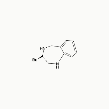 CC[C@H](C)[C@H]1CNc2ccccc2CN1